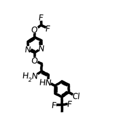 CC(F)(F)c1cc(N/C=C(\N)COc2ncc(OC(F)F)cn2)ccc1Cl